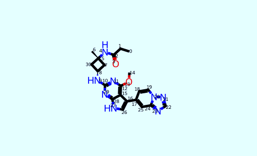 CCC(=O)N[C@]1(C)C[C@H](Nc2nc(OC)c3c(-c4ccn5ncnc5c4)c[nH]c3n2)C1